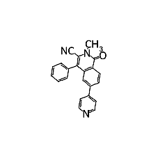 Cn1c(C#N)c(-c2ccccc2)c2cc(-c3ccncc3)ccc2c1=O